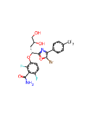 NC(=O)c1c(F)ccc(O[C@H](C[C@H](O)CO)c2nc(-c3ccc(C(F)(F)F)cc3)c(Br)o2)c1F